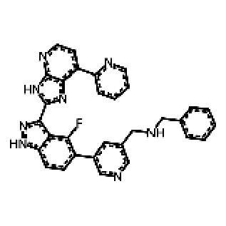 Fc1c(-c2cncc(CNCc3ccccc3)c2)ccc2[nH]nc(-c3nc4c(-c5ccccn5)ccnc4[nH]3)c12